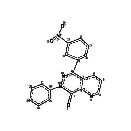 O=c1c2ncccc2c(-c2cccc([N+](=O)[O-])c2)nn1-c1ccccc1